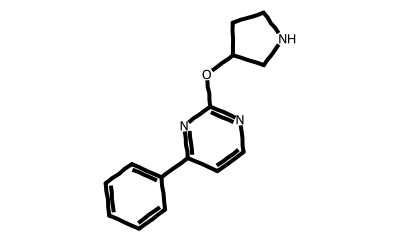 c1ccc(-c2ccnc(OC3CCNC3)n2)cc1